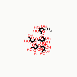 C[C@H]1OC(CO[C@H]2OC(CO[C@H]3OC(CO)[C@@H](O)[C@H](O)C3O[C@H]3OC(CO)[C@@H](O)C(O)[C@H]3O[C@H]3OC(CO)[C@@H](O)C(O)[C@H]3O)[C@@H](O)C(O)[C@H]2O)[C@@H](O)[C@H](O)C1O